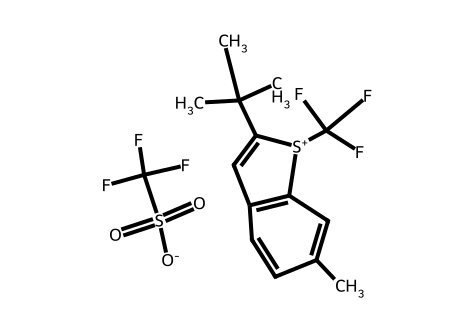 Cc1ccc2cc(C(C)(C)C)[s+](C(F)(F)F)c2c1.O=S(=O)([O-])C(F)(F)F